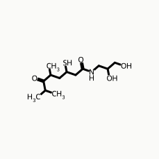 CC(C)C(=O)C(C)CC(S)CC(=O)NCC(O)CO